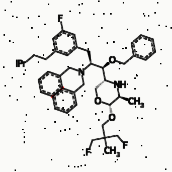 CC(C)CCc1cc(F)cc(C[C@@H]([C@@H](OCc2ccccc2)[C@H]2CO[C@@H](OCC(C)(CF)CF)[C@H](C)N2)N(Cc2ccccc2)Cc2ccccc2)c1